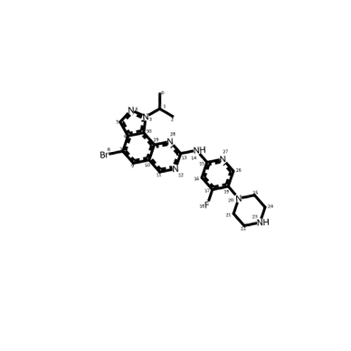 CC(C)n1ncc2c(Br)cc3cnc(Nc4cc(F)c(N5CCNCC5)cn4)nc3c21